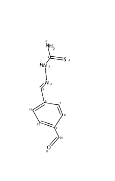 NC(=S)NN=Cc1ccc(C=O)cc1